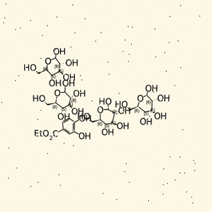 CCOC(=O)c1ccc(O)c(O)c1.OC[C@H]1OC(O)[C@H](O)[C@@H](O)[C@@H]1O.OC[C@H]1OC(O)[C@H](O)[C@@H](O)[C@@H]1O.OC[C@H]1OC(O)[C@H](O)[C@@H](O)[C@@H]1O.OC[C@H]1OC(O)[C@H](O)[C@@H](O)[C@@H]1O